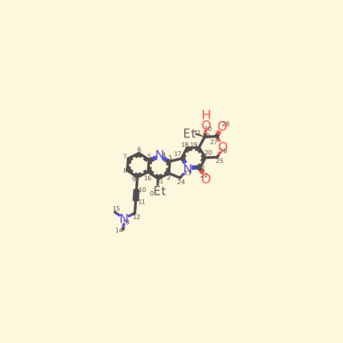 CCc1c2c(nc3cccc(C#CCN(C)C)c13)-c1cc3c(c(=O)n1C2)COC(=O)[C@]3(O)CC